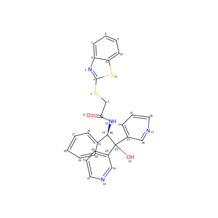 O=C(CSc1nc2ccccc2s1)N[C@H](c1ccccc1)C(O)(c1cccnc1)c1cccnc1